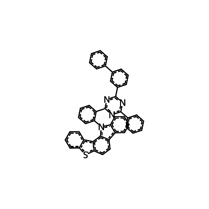 c1ccc(-c2cccc(-c3nc(-c4ccccc4)nc(-c4ccccc4-n4c5ccccc5c5ccc6sc7ccccc7c6c54)n3)c2)cc1